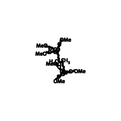 COCCOCCO[Si](CCCCCC(C)C(=O)C(C)CCCCC[Si](OCCOCCOC)(OCCOCCOC)OCCOCCOC)(OCCOCCOC)OCCOCCOC